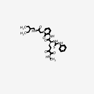 CCC(CC)CNC(=O)Cn1cccc(NC(=O)[C@H](CCC(=O)C(=O)NC)NC(=S)Nc2ccccc2)c1=O